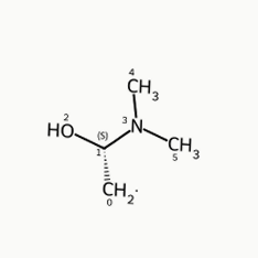 [CH2][C@H](O)N(C)C